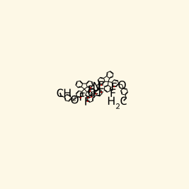 C=Cc1ccc(Oc2ccc(C3(c4c(F)c(F)cc(F)c4F)c4ccccc4-c4ccc(N(c5ccc6c(c5)C(c5ccc(Oc7ccc(C=C)cc7)cc5)(c5c(F)c(F)cc(F)c5F)c5ccccc5-6)c5cccc6c5oc5ccccc56)cc43)cc2)cc1